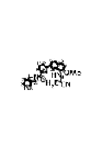 C=C(C#N)CNc1c(OC)ccc2ccc(-c3cccc(C(=O)NCc4cccnc4)n3)cc12